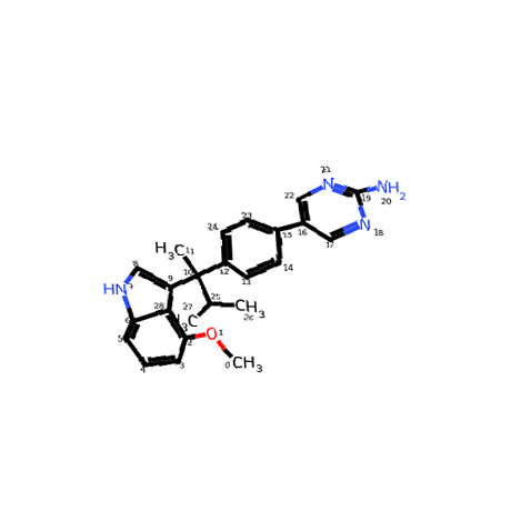 COc1cccc2[nH]cc(C(C)(c3ccc(-c4cnc(N)nc4)cc3)C(C)C)c12